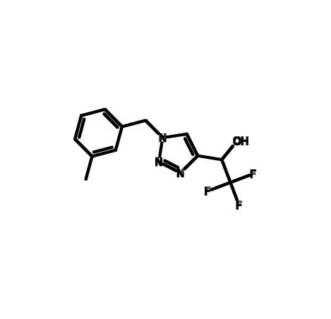 Cc1cccc(Cn2cc(C(O)C(F)(F)F)nn2)c1